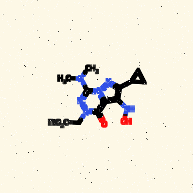 CCOC(=O)Cn1nc(N(C)C)n2nc(C3CC3)c(NO)c2c1=O